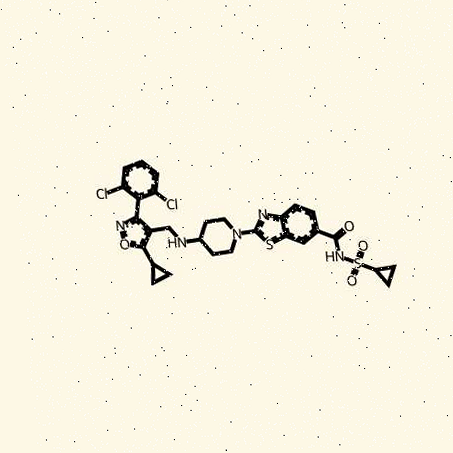 O=C(NS(=O)(=O)C1CC1)c1ccc2nc(N3CCC(NCc4c(-c5c(Cl)cccc5Cl)noc4C4CC4)CC3)sc2c1